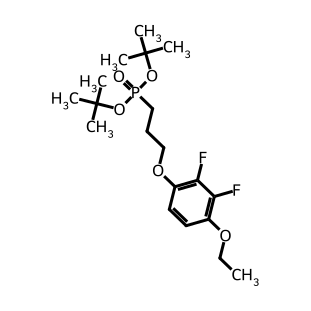 CCOc1ccc(OCCCP(=O)(OC(C)(C)C)OC(C)(C)C)c(F)c1F